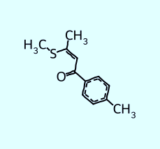 CS/C(C)=C\C(=O)c1ccc(C)cc1